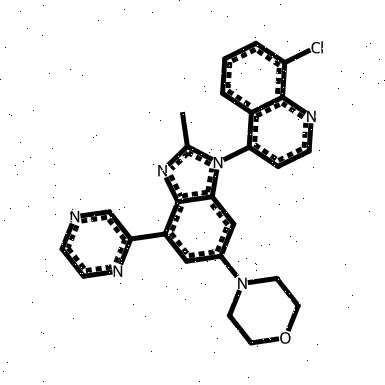 Cc1nc2c(-c3cnccn3)cc(N3CCOCC3)cc2n1-c1ccnc2c(Cl)cccc12